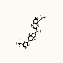 FC(F)Cn1ncc2ncc(NC3C[C@@H]4CN(c5cc(C(F)(F)F)cnn5)C[C@@H]4C3)nc21